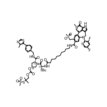 Cc1ncsc1-c1ccc(CNC(=O)[C@@H]2C[C@@H](OC(=O)OCC(C)(C)SS(C)(=O)=O)CN2C(=O)[C@@H](NC(=O)CCCCCCCCCNC(=O)c2cc3c(cc2CS(C)(=O)=O)-c2cn(C)c(=O)c4[nH]cc(c24)CN3c2ncc(F)cc2F)C(C)(C)C)cc1